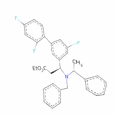 CCOC(=O)C[C@@H](c1cc(F)cc(-c2ccc(F)cc2F)c1)N(Cc1ccccc1)[C@H](C)c1ccccc1